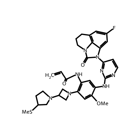 C=CC(=O)Nc1cc(Nc2nccc(-n3c(=O)n4c5c(cc(F)cc53)CCC4)n2)c(OC)cc1N1CC(N2CCC(SC)C2)C1